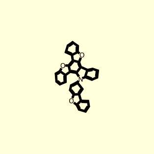 c1ccc2c(c1)oc1ccc(-n3c4ccccc4c4c5oc6ccccc6c5c5oc6ccccc6c5c43)cc12